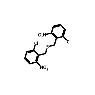 O=[N+]([O-])c1cccc(Cl)c1CSCc1c(Cl)cccc1[N+](=O)[O-]